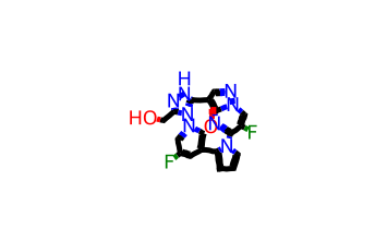 COc1ncc(F)cc1-c1cccn1-c1nc2c(-c3nc(CO)n[nH]3)cnn2cc1F